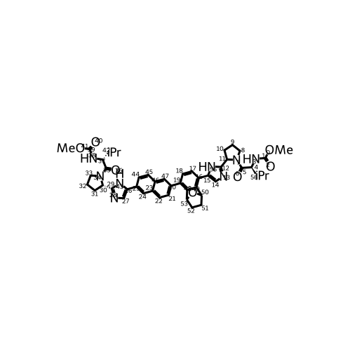 COC(=O)N[C@H](C(=O)N1CCCC1c1ncc(-c2ccc(-c3ccc4cc(-c5cnc([C@@H]6CCCN6C(=O)[C@H](NC(=O)OC)C(C)C)[nH]5)ccc4c3)c3c2C2CCC3O2)[nH]1)C(C)C